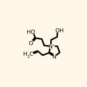 C=CCC1=NCC[N+]1(CCO)CCC(=O)O